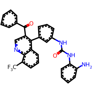 Nc1ccccc1NC(=O)Nc1cccc(-c2c(C(=O)c3ccccc3)cnc3c(C(F)(F)F)cccc23)c1